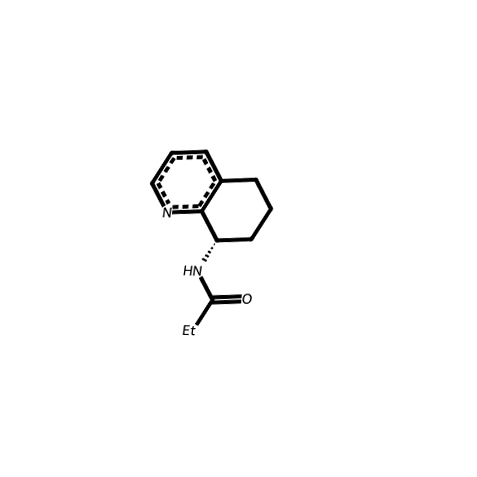 CCC(=O)N[C@H]1CCCc2cccnc21